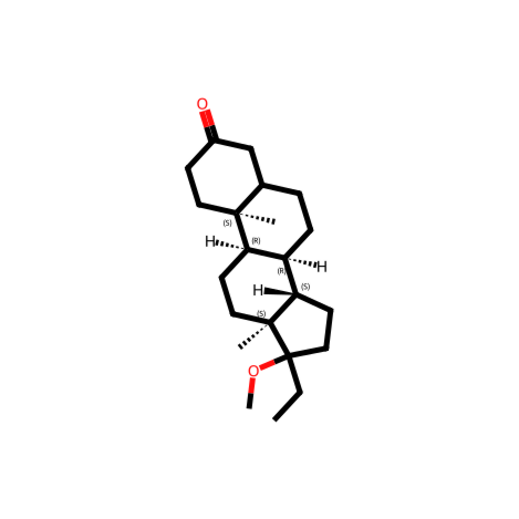 CCC1(OC)CC[C@H]2[C@@H]3CCC4CC(=O)CC[C@]4(C)[C@@H]3CC[C@@]21C